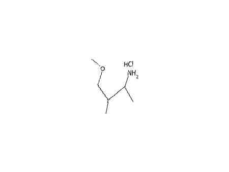 COCC(C)C(C)N.Cl